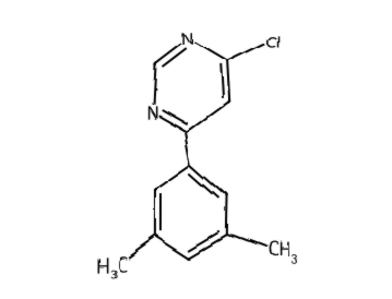 Cc1cc(C)cc(-c2cc(Cl)ncn2)c1